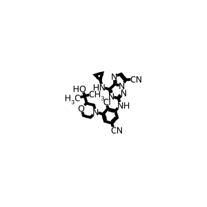 CC(C)(O)C1CN(c2cc(C#N)cc(Nc3nc(NC4CC4)c4ncc(C#N)n4n3)c2Cl)CCO1